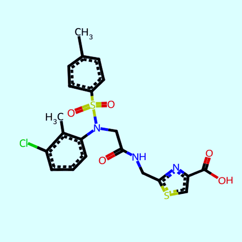 Cc1ccc(S(=O)(=O)N(CC(=O)NCc2nc(C(=O)O)cs2)c2cccc(Cl)c2C)cc1